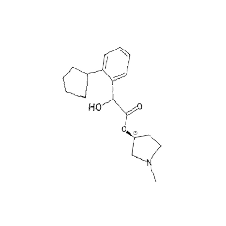 CN1CC[C@H](OC(=O)C(O)c2ccccc2C2CCCC2)C1